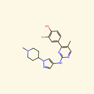 Cc1cnc(Nc2cnn(C3CCN(C)CC3)c2)nc1-c1ccc(O)c(F)c1